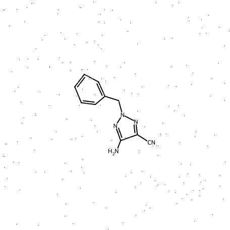 N#Cc1nn(Cc2ccccc2)nc1N